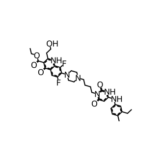 CCOC(=O)c1c(CCO)[nH]c2c(F)c(N3CCN(CCCCn4c(=O)cc(Nc5ccc(C)c(CC)c5)[nH]c4=O)CC3)c(F)cc2c1=O